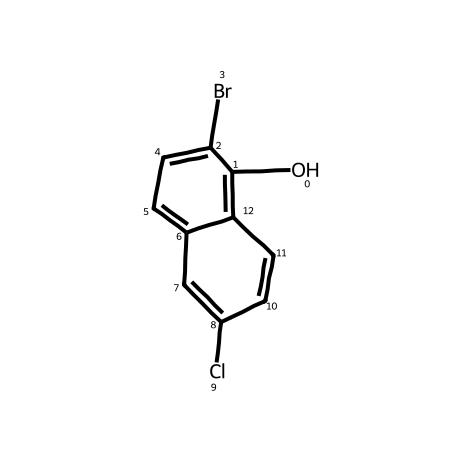 Oc1c(Br)ccc2cc(Cl)ccc12